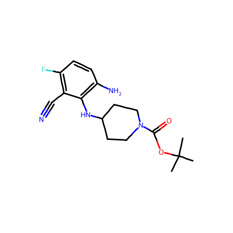 CC(C)(C)OC(=O)N1CCC(Nc2c(N)ccc(F)c2C#N)CC1